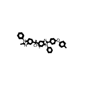 Cc1ccc(Oc2ccc(-c3nc4cc(C(C)(c5ccc6c(c5)nc(C)n6-c5ccccc5)C(F)(F)F)ccc4n3-c3ccccc3)cc2)cc1